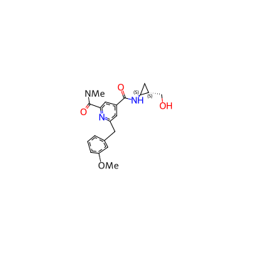 CNC(=O)c1cc(C(=O)N[C@H]2C[C@@H]2CO)cc(Cc2cccc(OC)c2)n1